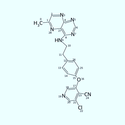 Cc1cnc2ncnc(NCCc3ccc(Oc4cncc(Cl)c4C#N)cc3)c2n1